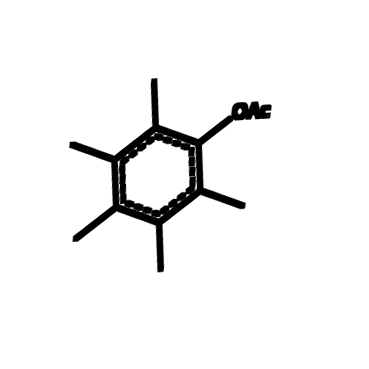 CC(=O)Oc1c(C)c(C)c(C)c(C)c1C